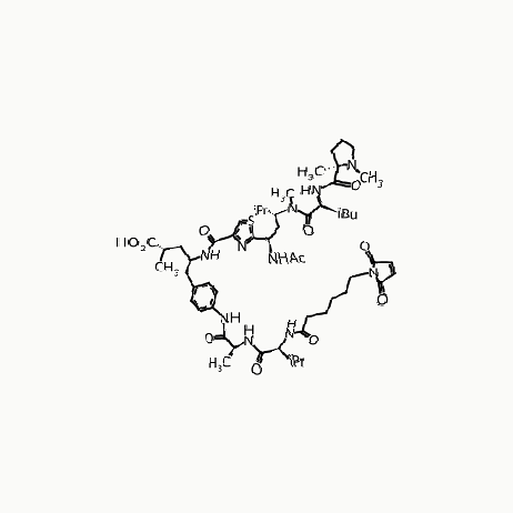 CC[C@H](C)C(NC(=O)[C@@]1(C)CCCN1C)C(=O)N(C)[C@H](C[C@@H](NC(C)=O)c1nc(C(=O)N[C@@H](Cc2ccc(NC(=O)[C@H](C)NC(=O)[C@@H](NC(=O)CCCCCN3C(=O)C=CC3=O)C(C)C)cc2)C[C@H](C)C(=O)O)cs1)C(C)C